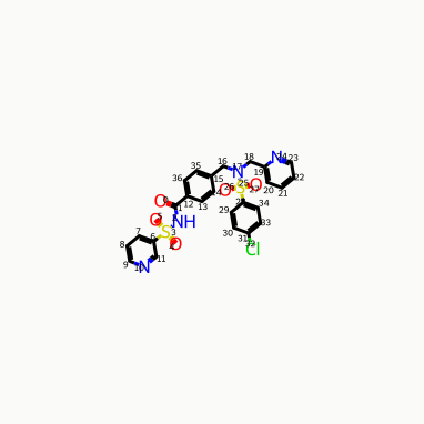 O=C(NS(=O)(=O)c1cccnc1)c1ccc(CN(Cc2ccccn2)S(=O)(=O)c2ccc(Cl)cc2)cc1